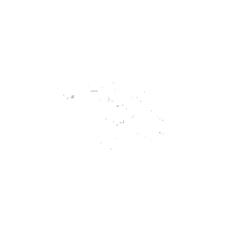 C[C@H](c1nc2ncccc2c(=O)n1-c1ccc(C#N)cc1)N(C(=O)Cc1ccc(F)c(C(F)(F)F)c1)C1CCSCC1